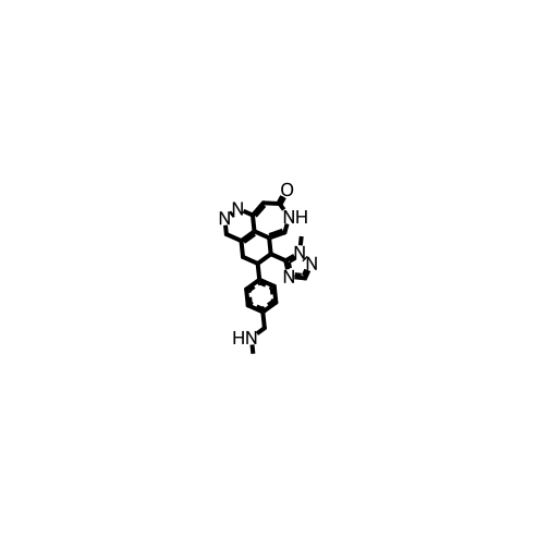 CNCc1ccc(C2CC3=C4C(=CC(=O)NC=C4C2c2ncnn2C)N=NC3)cc1